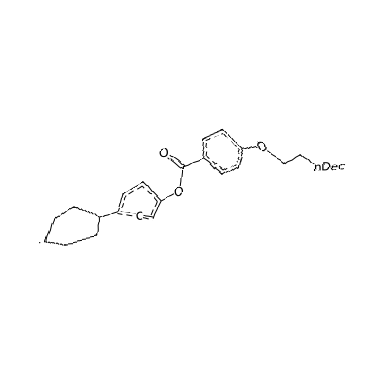 CCCCCCCCCCCCOc1ccc(C(=O)Oc2ccc(C3CC[CH]CC3)cc2)cc1